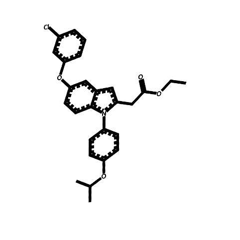 CCOC(=O)Cc1cc2cc(Oc3cccc(Cl)c3)ccc2n1-c1ccc(OC(C)C)cc1